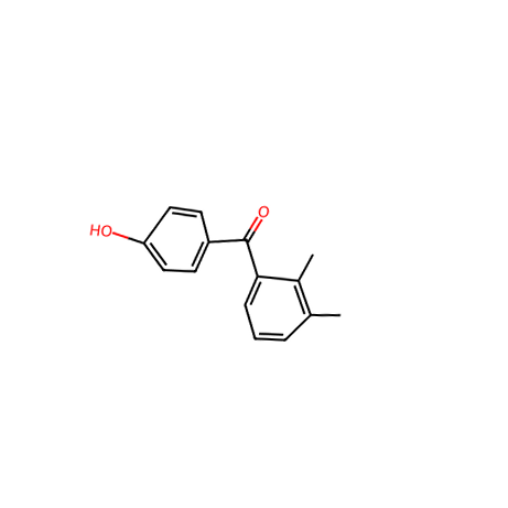 Cc1cccc(C(=O)c2ccc(O)cc2)c1C